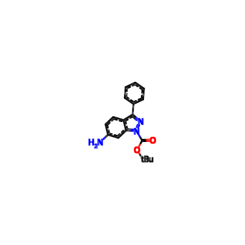 CC(C)(C)OC(=O)n1nc(-c2ccccc2)c2ccc(N)cc21